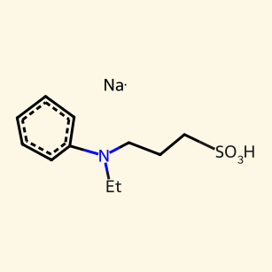 CCN(CCCS(=O)(=O)O)c1ccccc1.[Na]